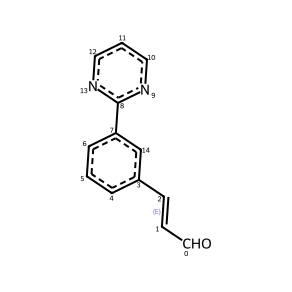 O=C/C=C/c1cccc(-c2ncccn2)c1